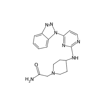 NC(=O)CN1CCC(Nc2nccc(-n3nnc4ccccc43)n2)CC1